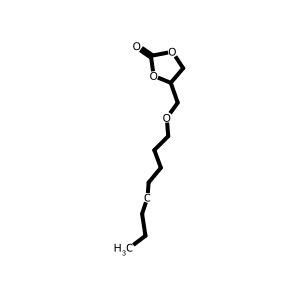 CCCCCCCCOCC1COC(=O)O1